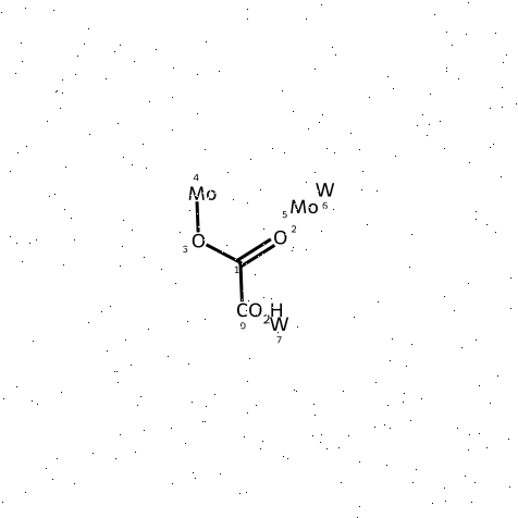 O=C(O)C(=O)[O][Mo].[Mo].[W].[W]